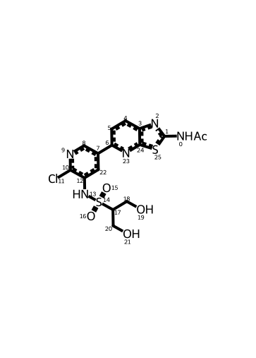 CC(=O)Nc1nc2ccc(-c3cnc(Cl)c(NS(=O)(=O)C(CO)CO)c3)nc2s1